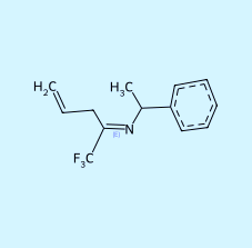 C=CC/C(=N\C(C)c1ccccc1)C(F)(F)F